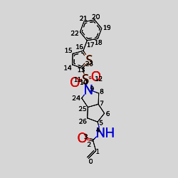 C=CC(=O)NC1CC2CN(S(=O)(=O)c3ccc(-c4ccccc4)s3)CC2C1